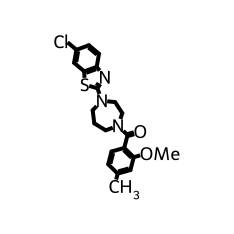 COc1cc(C)ccc1C(=O)N1CCCN(c2nc3ccc(Cl)cc3s2)CC1